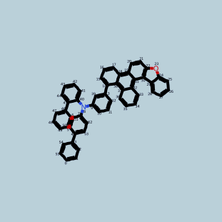 c1ccc(-c2ccc(N(c3cccc(-c4cccc5c6ccc7oc8ccccc8c7c6c6ccccc6c45)c3)c3ccccc3-c3ccccc3)cc2)cc1